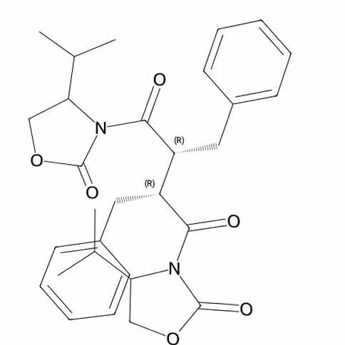 CC(C)C1COC(=O)N1C(=O)[C@H](Cc1ccccc1)[C@@H](Cc1ccccc1)C(=O)N1C(=O)OCC1C(C)C